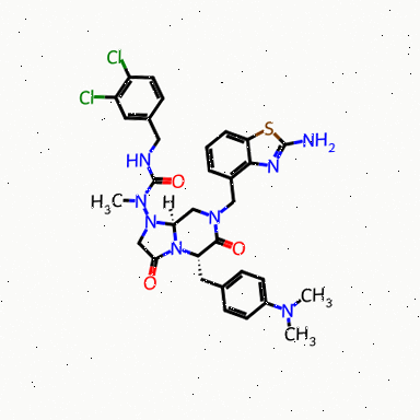 CN(C)c1ccc(C[C@H]2C(=O)N(Cc3cccc4sc(N)nc34)C[C@H]3N2C(=O)CN3N(C)C(=O)NCc2ccc(Cl)c(Cl)c2)cc1